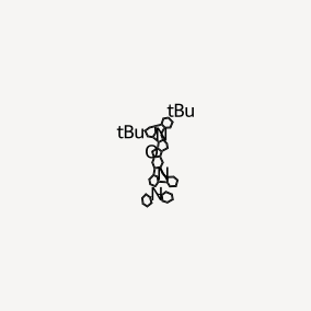 CC(C)(C)c1ccc2c(c1)c1cc(C(C)(C)C)cc3c4c5oc6cc7c8ccc(N(c9ccccc9)c9ccccc9)c9c%10ccccc%10n(c7cc6c5ccc4n2c13)c89